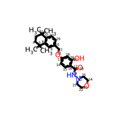 CC1(C)CCC(C)(C)c2cc(COc3ccc(C(=O)NN4CCOCC4)c(O)c3)ccc21